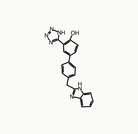 Oc1ccc(-c2ccc(Cc3nc4ccccc4[nH]3)cc2)cc1-c1nnn[nH]1